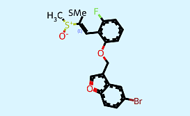 CS/C(=C\c1c(F)cccc1OCc1coc2ccc(Br)cc12)[S+](C)[O-]